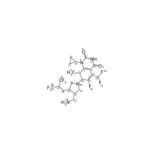 CC1c2c(c(=O)[nH]c(=O)n2C2CC2)C(C(F)F)=C(F)C1N1CC(CN)C(CC(C(F)(F)F)C(F)(F)F)C1